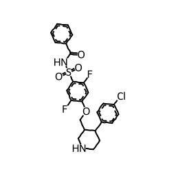 O=C(NS(=O)(=O)c1cc(F)c(OCC2CNCCC2c2ccc(Cl)cc2)cc1F)c1ccccc1